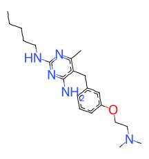 CCCCCNc1nc(C)c(Cc2cccc(OCCN(C)C)c2)c(N)n1